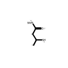 CNC(=O)CC(C)S